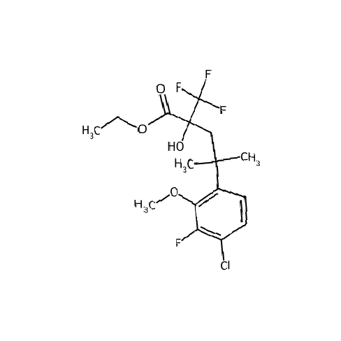 CCOC(=O)C(O)(CC(C)(C)c1ccc(Cl)c(F)c1OC)C(F)(F)F